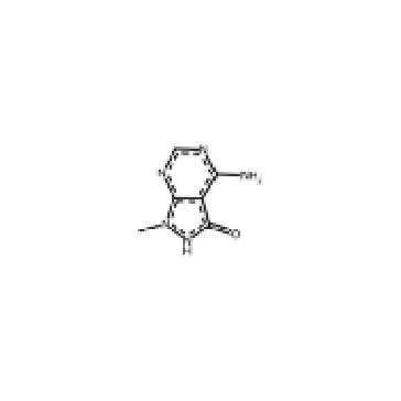 Cn1[nH]c(=O)c2c(N)ncnc21